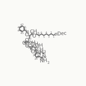 CCCCCCCCCCCCCCCCCCOC(C)C(COP(=O)(O)OC1C2OC(C)(c3ccc4c(N)ncnn34)C(O)C21O)OCc1ccccc1